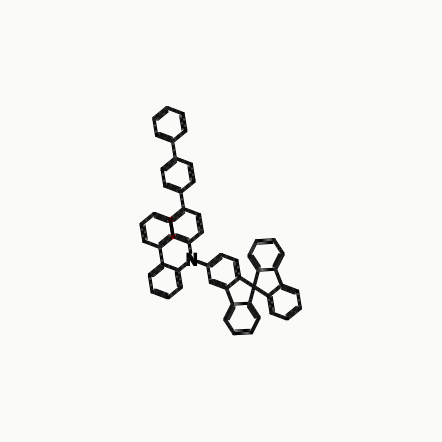 c1ccc(-c2ccc(-c3ccc(N(c4ccc5c(c4)-c4ccccc4C54c5ccccc5-c5ccccc54)c4ccccc4-c4ccccc4)cc3)cc2)cc1